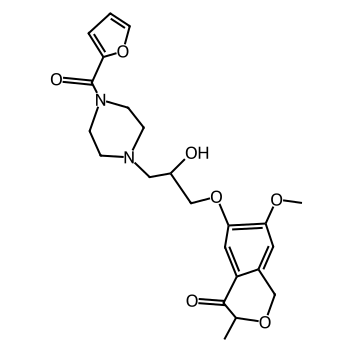 COc1cc2c(cc1OCC(O)CN1CCN(C(=O)c3ccco3)CC1)C(=O)C(C)OC2